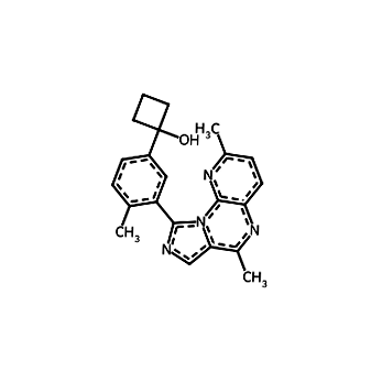 Cc1ccc2nc(C)c3cnc(-c4cc(C5(O)CCC5)ccc4C)n3c2n1